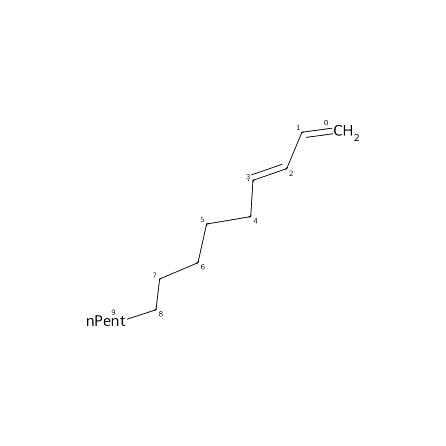 C=C/C=[C]/CCCCCCCCCC